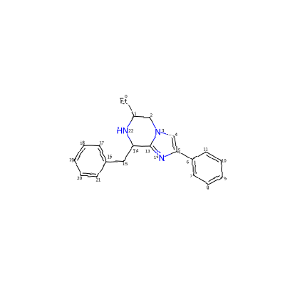 CCC1Cn2cc(-c3ccccc3)nc2C(Cc2ccccc2)N1